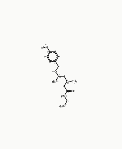 COCNC(=O)C[C@H](C)C[C@H](OCc1ccc(OC)cc1)C(C)(C)C